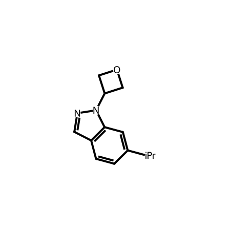 CC(C)c1ccc2cnn(C3COC3)c2c1